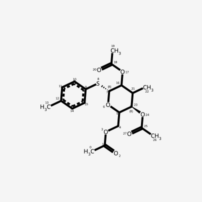 CC(=O)OCC1O[C@H](Sc2ccc(C)cc2)C(OC(C)=O)C(C)[C@H]1OC(C)=O